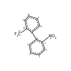 O=[N+]([O-])c1ccccc1-c1ccc[c]c1C(F)(F)F